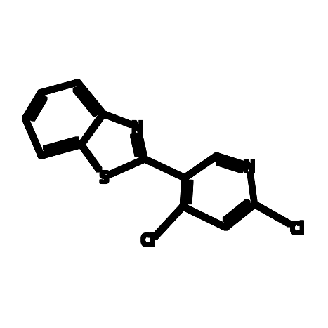 Clc1cc(Cl)c(-c2nc3ccccc3s2)cn1